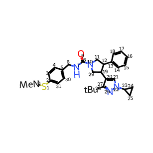 CNSc1ccc(CNC(=O)N2CC(c3ccccc3)C(c3cn(C4CC4)nc3C(C)(C)C)C2)cc1